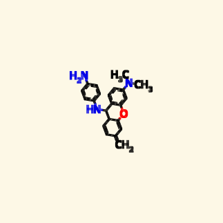 C=C1C=CC2C(=C1)Oc1cc(N(C)C)ccc1C2Nc1ccc(N)cc1